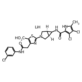 Cc1[nH]c(C(=O)NC2[C@H]3CN(c4nc(CC(=O)Nc5cccc(Cl)c5)c(C(=O)O)s4)C[C@@H]23)c(Cl)c1Cl.[LiH]